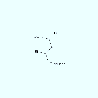 CCCCCCCCC([CH]C(CC)CCCCC)CC